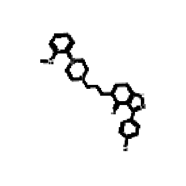 COc1ccccc1N1CCN(CCCC2CCc3onc(-c4ccc(Cl)cc4)c3C2=O)CC1